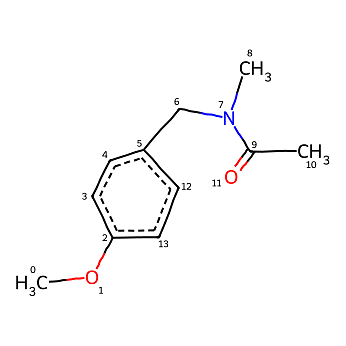 COc1ccc(CN(C)C(C)=O)cc1